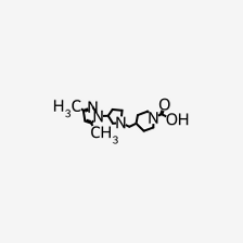 Cc1cc(C)n(C2CCN(CC3CCN(C(=O)O)CC3)C2)n1